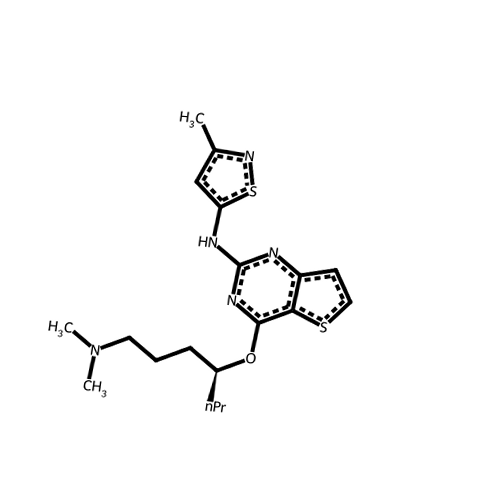 CCC[C@@H](CCCN(C)C)Oc1nc(Nc2cc(C)ns2)nc2ccsc12